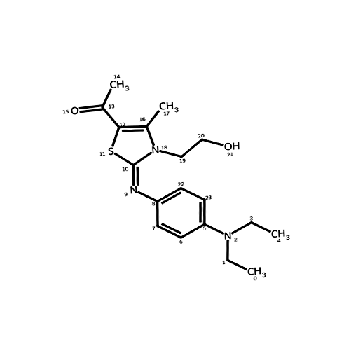 CCN(CC)c1ccc(N=c2sc(C(C)=O)c(C)n2CCO)cc1